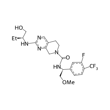 CC[C@@H](CO)Nc1ncc2c(n1)CN(C(=O)N[C@H](COC)c1ccc(C(F)(F)F)c(F)c1)CC2